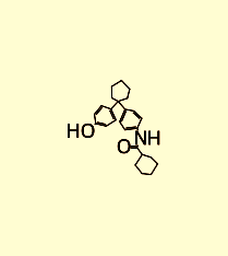 O=C(Nc1ccc(C2(c3ccc(O)cc3)CCCCC2)cc1)C1CCCCC1